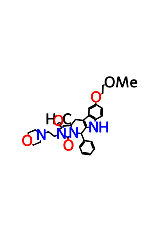 COCCOc1ccc2[nH]c3c(c2c1)CC1(C)C(=O)N(CCN2CCOCC2)C(=O)N1C3c1ccccc1